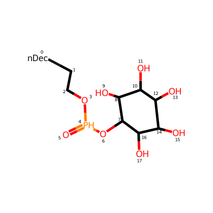 CCCCCCCCCCCCO[PH](=O)OC1C(O)C(O)C(O)C(O)C1O